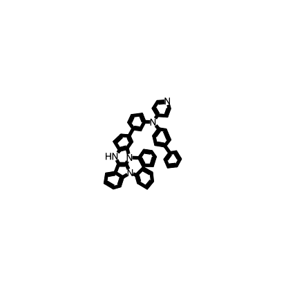 c1ccc(-c2ccc(N(c3ccncc3)c3cccc(-c4ccc5c(c4)N(c4ccccc4)c4c(c6ccccc6n4-c4ccccc4)N5)c3)cc2)cc1